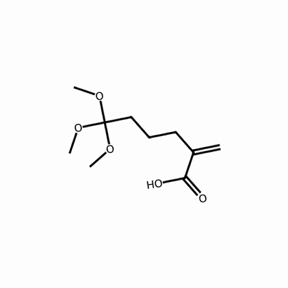 C=C(CCCC(OC)(OC)OC)C(=O)O